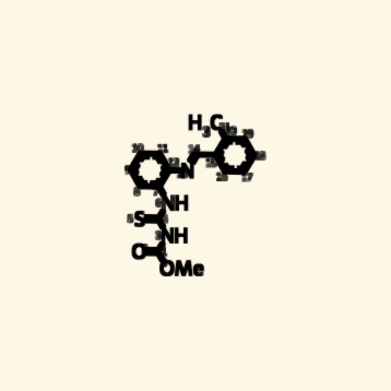 COC(=O)NC(=S)Nc1ccccc1N=Cc1ccccc1C